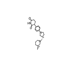 O=C1CCC(c2ccc(N3CC[C@H](CN4CCC[C@H](F)C4)C3)cc2)C(=O)N1